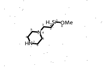 CO[SiH2]CCN1CCNCC1